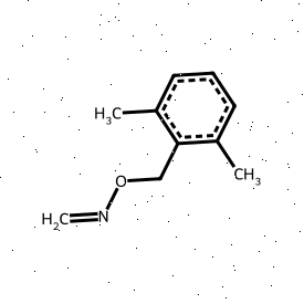 C=NOCc1c(C)cccc1C